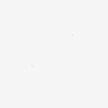 O=[N+]([O-])C=Cc1cccc(-c2ccccn2)c1